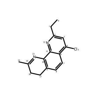 CCc1cc(Cl)c2ccc3c(c2n1)N=C(C)CC3